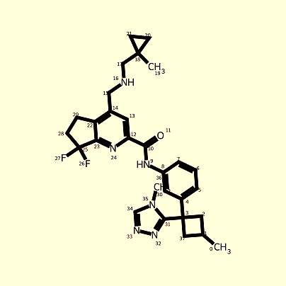 CC1CC(c2cccc(NC(=O)c3cc(CNCC4(C)CC4)c4c(n3)C(F)(F)CC4)c2)(c2nncn2C)C1